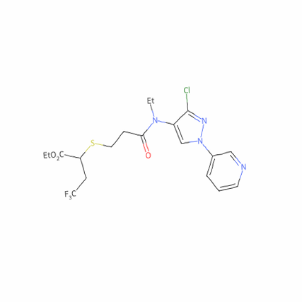 CCOC(=O)C(CC(F)(F)F)SCCC(=O)N(CC)c1cn(-c2cccnc2)nc1Cl